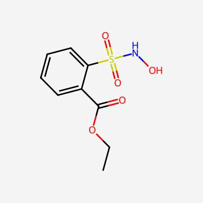 CCOC(=O)c1ccccc1S(=O)(=O)NO